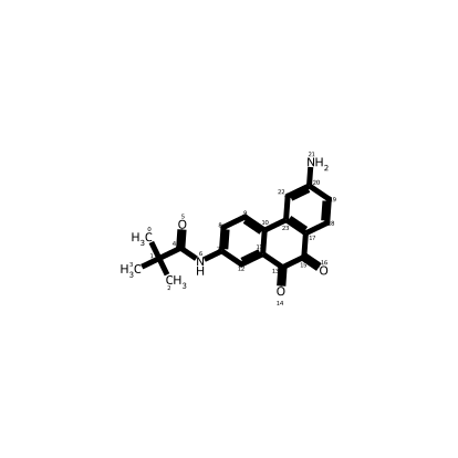 CC(C)(C)C(=O)Nc1ccc2c(c1)C(=O)C(=O)c1ccc(N)cc1-2